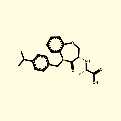 CC(C)c1ccc(CN2C(=O)[C@@H](N[C@@H](C)C(=O)O)COc3ccccc32)cc1